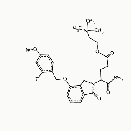 COc1ccc(COc2cccc3c2CN(C(CCC(=O)OCC[Si](C)(C)C)C(N)=O)C3=O)c(F)c1